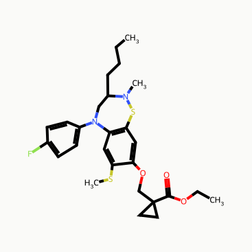 CCCCC1CN(c2ccc(F)cc2)c2cc(SC)c(OCC3(C(=O)OCC)CC3)cc2SN1C